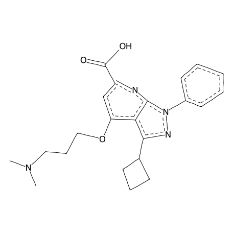 CN(C)CCCOc1cc(C(=O)O)nc2c1c(C1CCC1)nn2-c1ccccc1